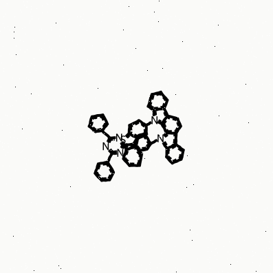 c1ccc(-c2nc(-c3ccccc3)nc(-c3ccc(-n4c5ccccc5c5ccc6c7ccccc7n(-c7ccc8sc9ccccc9c8c7)c6c54)cc3)n2)cc1